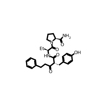 CC[C@H](NC(=O)[C@H](Cc1ccc(O)cc1)C(=O)CCc1ccccc1)C(=O)N1CCC[C@H]1C(N)=O